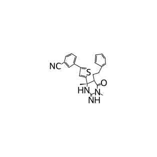 CN1C(=N)N[C@](C)(c2cc(-c3cccc(C#N)c3)cs2)C(CCc2ccccc2)C1=O